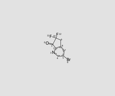 O=C1c2ncc(Br)cc2CC1(F)F